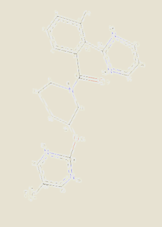 Cc1cccc(C(=O)N2CCCC(Oc3ncc(C(F)(F)F)cn3)C2)c1-c1ncccn1